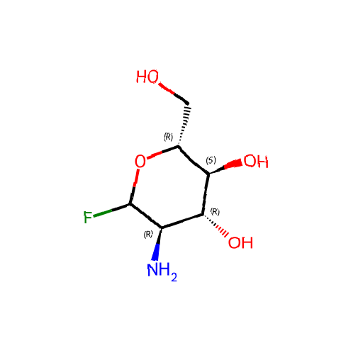 N[C@H]1C(F)O[C@H](CO)[C@@H](O)[C@@H]1O